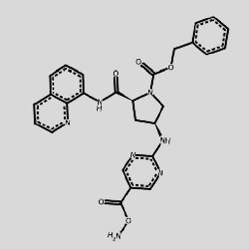 NOC(=O)c1cnc(N[C@H]2C[C@@H](C(=O)Nc3cccc4cccnc34)N(C(=O)OCc3ccccc3)C2)nc1